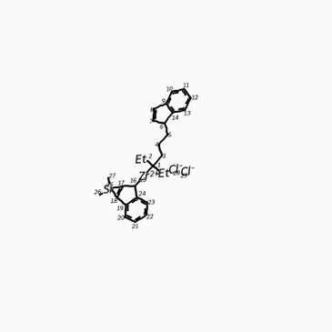 CC[C](CC)(CCCC1C=Cc2ccccc21)[Zr+2][CH]1C2=C(c3ccccc31)[Si]2(C)C.[Cl-].[Cl-]